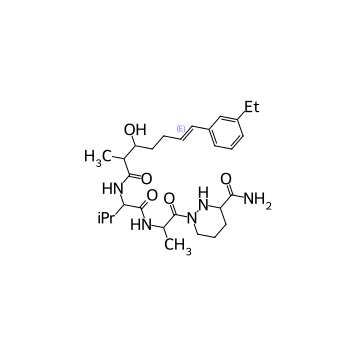 CCc1cccc(/C=C/CCC(O)C(C)C(=O)NC(C(=O)NC(C)C(=O)N2CCCC(C(N)=O)N2)C(C)C)c1